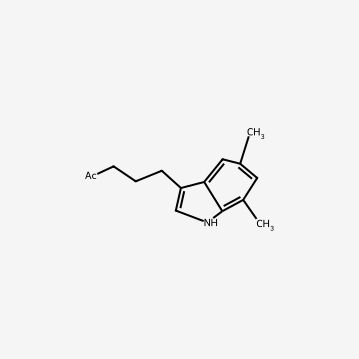 CC(=O)CCCc1c[nH]c2c(C)cc(C)cc12